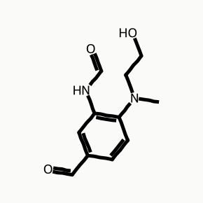 CN(CCO)c1ccc(C=O)cc1NC=O